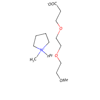 CCC[N+]1(C)CCCC1.COCCOCCOCCC(=O)[O-]